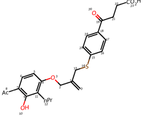 C=C(COc1ccc(C(C)=O)c(O)c1CCC)CSc1ccc(C(=O)CCC(=O)O)cc1